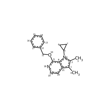 Cc1c(C)n(C2CC2)c2c(OCc3ccccc3)nncc12